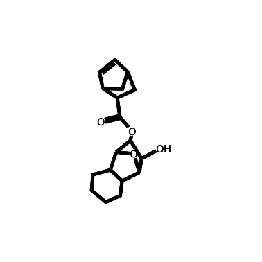 O=C(OC1C(O)C2OC1C1CCCCC12)C1CC2C=CC1C2